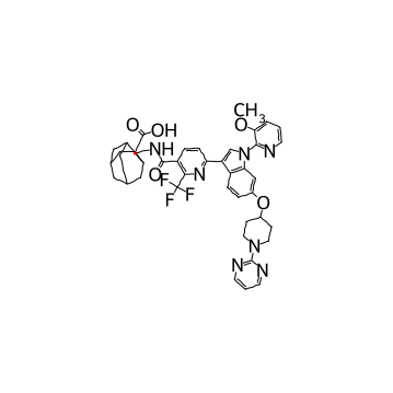 COc1cccnc1-n1cc(-c2ccc(C(=O)NC3(C(=O)O)C4CCC5CC(C4)CC3C5)c(C(F)(F)F)n2)c2ccc(OC3CCN(c4ncccn4)CC3)cc21